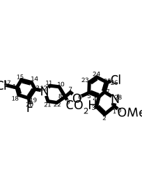 COc1ccc2c(OCC3(C(=O)O)CCN(c4ccc(Cl)cc4F)CC3)ccc(Cl)c2n1